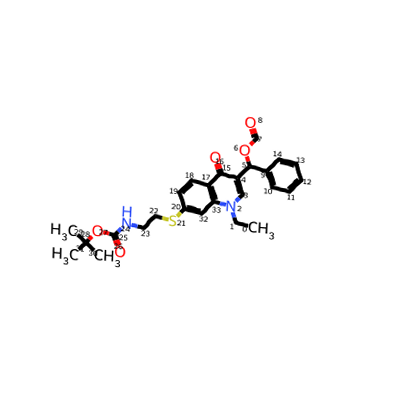 CCn1cc(C(OC=O)c2ccccc2)c(=O)c2ccc(SCCNC(=O)OC(C)(C)C)cc21